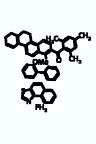 COc1c(C(=O)c2c(C)cc(C)cc2C)ccc2c3c(ccc12)C1=C(CCC=C1)CC3.P.c1ccc(-c2ccccc2)cc1.c1ccc2c(c1)ccc1scnc12